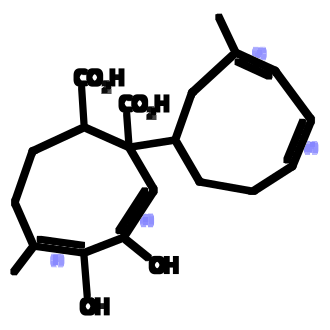 C/C1=C/C=C\CCC(C2(C(=O)O)/C=C(O)\C(O)=C(\C)CCC2C(=O)O)C1